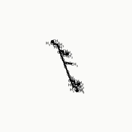 CCCOCCOCCOC(CCCOCCOCCOCCCNC(=O)[C@H](CCCCNC(=O)CC(C)CCCC(C)CCC1=C(C)CCCC1(C)C)NC(=O)CC(C)CCCC(C)CCC1=C(C)CCCC1(C)C)COCCOCCCCCCOCCOCCOCCCNC(=O)[C@H](CCCCNC(=O)CC(C)CCCC(C)CCC1=C(C)CCCC1(C)C)NC(=O)CC(C)CCCC(C)CCC1=C(C)CCCC1(C)C